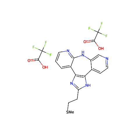 CSCCc1nc2c([nH]1)-c1ccncc1Nc1ncccc1-2.O=C(O)C(F)(F)F.O=C(O)C(F)(F)F